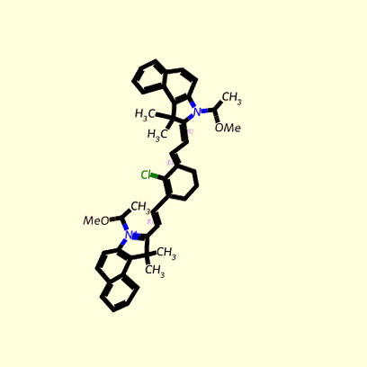 COC(C)N1/C(=C/C=C2\CCCC(/C=C/C3=[N+](C(C)OC)c4ccc5ccccc5c4C3(C)C)=C2Cl)C(C)(C)c2c1ccc1ccccc21